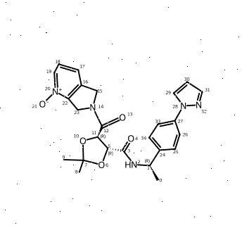 C[C@@H](NC(=O)[C@@H]1OC(C)(C)O[C@H]1C(=O)N1Cc2ccc[n+]([O-])c2C1)c1ccc(-n2cccn2)cc1